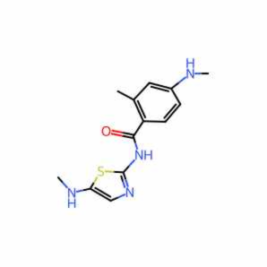 CNc1ccc(C(=O)Nc2ncc(NC)s2)c(C)c1